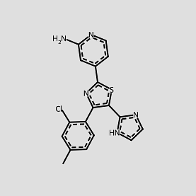 Cc1ccc(-c2nc(-c3ccnc(N)c3)sc2-c2ncc[nH]2)c(Cl)c1